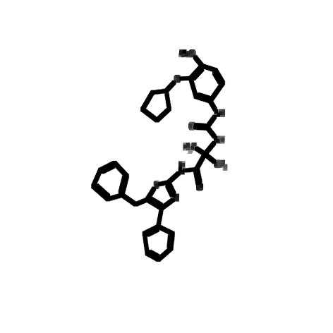 COc1ccc(NC(=O)NC(C)(C)C(=O)Nc2nc(-c3ccccc3)c(Cc3ccccc3)s2)cc1OC1CCCC1